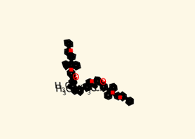 CC1(C)c2cc3c(cc2-c2c1ccc1ccc(-c4ccc5c6c(ccc5c4)-c4ccc5oc7cc(-c8c9ccccc9c(-c9ccc%10cc(-c%11ccccc%11)ccc%10c9)c9ccccc89)ccc7c5c4C6(C)C)cc21)oc1cc(-c2c4ccccc4c(-c4ccc5cc(-c6ccccc6)ccc5c4)c4ccccc24)ccc13